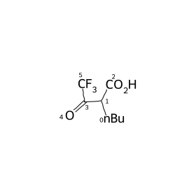 CCCCC(C(=O)O)C(=O)C(F)(F)F